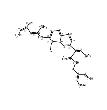 CN/C=C(\C=N)CNC(=N)/C(=C\NC)C1=CC2C(=CC=C(N/C(N)=C/C(=C\N)C(C)C)N2C)N=C1